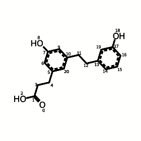 O=C(O)CCc1cc(O)cc(CCc2cccc(O)c2)c1